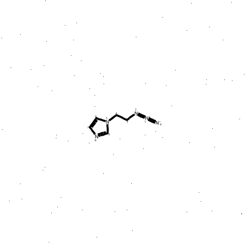 [N-]=[N+]=NCCn1ccnc1